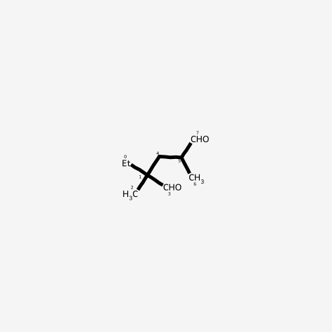 CCC(C)(C=O)CC(C)C=O